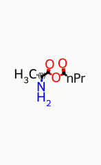 CCCC(=O)OC(=O)[C@@H](C)N